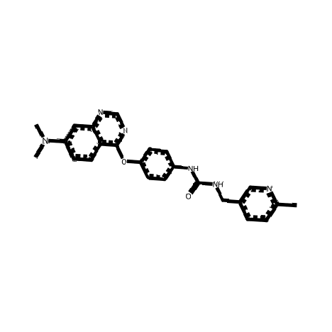 Cc1ccc(CNC(=O)Nc2ccc(Oc3ncnc4cc(N(C)C)ccc34)cc2)cn1